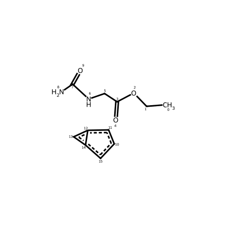 CCOC(=O)CNC(N)=O.c1cc2cc-2c1